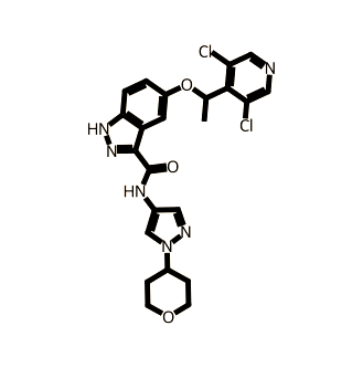 CC(Oc1ccc2[nH]nc(C(=O)Nc3cnn(C4CCOCC4)c3)c2c1)c1c(Cl)cncc1Cl